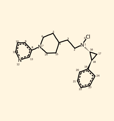 ClN(CCC1CCN(c2cccnc2)CC1)[C@@H]1C[C@H]1c1ccccc1